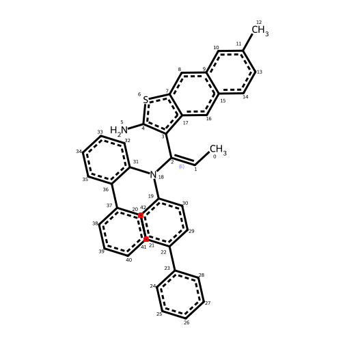 C/C=C(\c1c(N)sc2cc3cc(C)ccc3cc12)N(c1ccc(-c2ccccc2)cc1)c1ccccc1-c1ccccc1